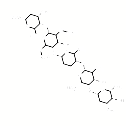 CO[C@@H]1C[C@@H](O)[C@H](O[C@@H]2OC(OC=O)[C@@H](O[C@@H]3CC[C@H](O[C@@H]4O[C@@H](C(=O)O)[C@@H](O[C@@H]5C[C@@H](O)[C@H](O)[C@H](C)O5)[C@H](O)C4C)C(C)O3)[C@H](O)C2OS(=O)(=O)O)C(C)O1